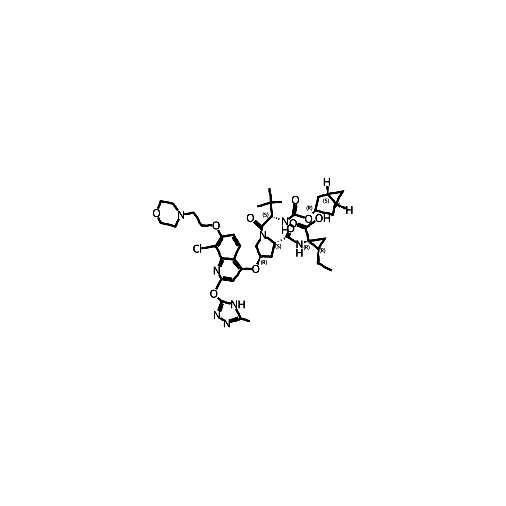 CC[C@@H]1C[C@]1(NC(=O)[C@@H]1C[C@@H](Oc2cc(Oc3nnc(C)[nH]3)nc3c(Cl)c(OCCN4CCOCC4)ccc23)CN1C(=O)[C@@H](NC(=O)O[C@@H]1C[C@@H]2C[C@@H]2C1)C(C)(C)C)C(=O)O